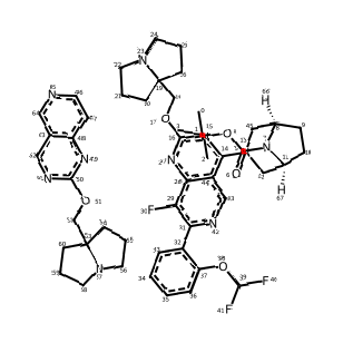 CC(C)(C)OC(=O)N1[C@@H]2CC[C@H]1CN(c1nc(OCC34CCCN3CCC4)nc3c(F)c(-c4ccccc4OC(F)F)ncc13)C2.c1cc2nc(OCC34CCCN3CCC4)ncc2cn1